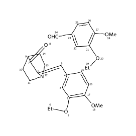 CCOc1cc(/C=C2/C(=O)C3CCN2CC3)ccc1OC.CCOc1cc(C=O)ccc1OC